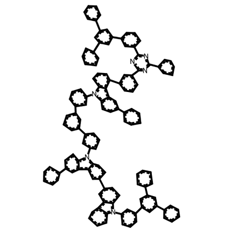 c1ccc(-c2cc(-c3ccccc3)cc(-c3cccc(-c4nc(-c5ccccc5)nc(-c5cccc(-c6cccc7c6c6cc(-c8ccccc8)ccc6n7-c6cccc(-c7cccc(-c8cccc(-n9c%10ccc(-c%11ccccc%11)cc%10c%10cc(-c%11ccc%12c(c%11)c%11ccccc%11n%12-c%11cccc(-c%12cc(-c%13ccccc%13)cc(-c%13ccccc%13)c%12)c%11)ccc%109)c8)c7)c6)c5)n4)c3)c2)cc1